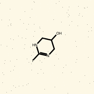 OC1CN=C(I)NC1